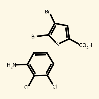 Nc1cccc(Cl)c1Cl.O=C(O)c1cc(Br)c(Br)s1